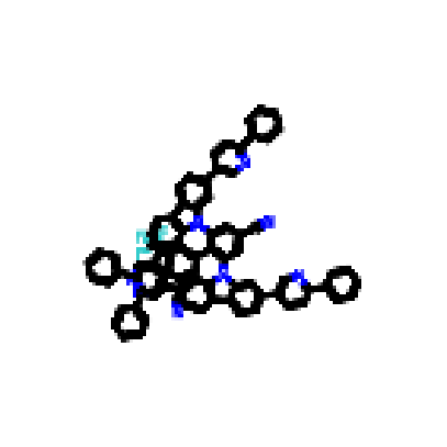 N#Cc1cc(-c2c(-n3c4cc(-c5ccc(-c6ccccc6)nc5)ccc4c4ccc(-c5ccc(-c6ccccc6)nc5)cc43)cc(C#N)cc2-n2c3cc(-c4ccc(-c5ccccc5)nc4)ccc3c3ccc(-c4ccc(-c5ccccc5)nc4)cc32)cc(C(F)(F)F)c1